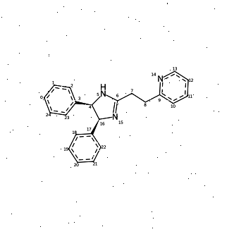 c1ccc([C@H]2NC(CCc3ccccn3)=N[C@H]2c2ccccc2)cc1